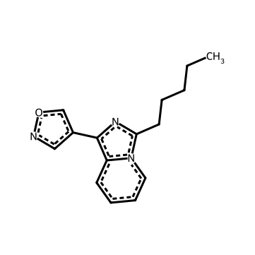 CCCCCc1nc(-c2cnoc2)c2ccccn12